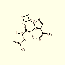 CC(=O)O[C@@H](C)C(=O)N(C)c1c(C(N)=O)cnn1C1CCC1